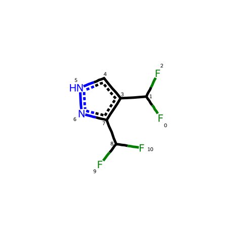 FC(F)c1c[nH]nc1C(F)F